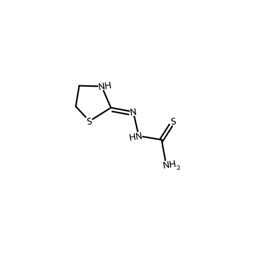 NC(=S)N/N=C1/NCCS1